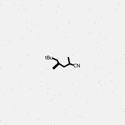 C=C(CC(C)C#N)CC(C)(C)C